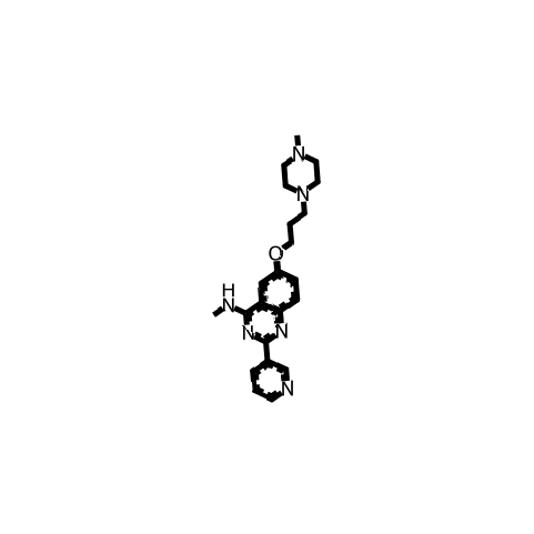 CNc1nc(-c2cccnc2)nc2ccc(OCCCN3CCN(C)CC3)cc12